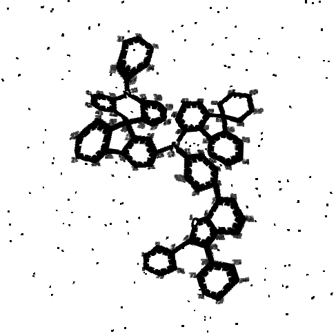 c1ccc(-c2oc3c(-c4ccc(N(c5ccc6c(c5)C5(c7ccccc7-6)c6ccccc6N(c6ccccc6)c6ccccc65)c5cccc6c5-c5ccccc5C65CCCCC5)cc4)cccc3c2-c2ccccc2)cc1